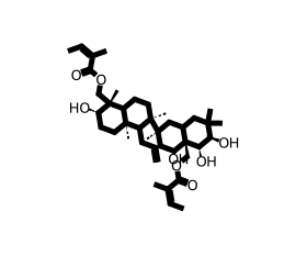 C=CCC1[C@@]2(C)CC[C@H](O)[C@](C)(COC(=O)/C(C)=C\C)C2CC[C@@]1(C)[C@@]1(C)CC2CC(C)(C)[C@@H](O)[C@H](O)[C@]2(COC(=O)/C(C)=C\C)[C@H](O)C1